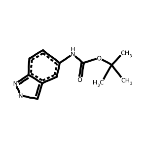 CC(C)(C)OC(=O)Nc1ccc2c(c1)=C[N]N=2